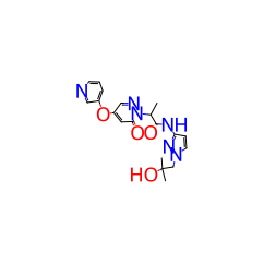 CC(C(=O)Nc1ccn(CC(C)(C)O)n1)n1ncc(Oc2cccnc2)cc1=O